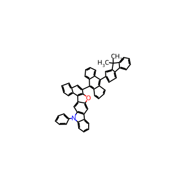 CC1(C)c2ccccc2-c2ccc(-c3c4ccccc4c(-c4cc5ccccc5c5c4oc4cc6c7ccccc7n(-c7ccccc7)c6cc45)c4ccccc34)cc21